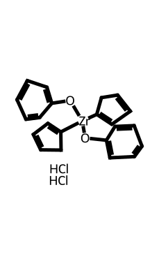 C1=CC[C]([Zr]([O]c2ccccc2)([O]c2ccccc2)[C]2=CC=CC2)=C1.Cl.Cl